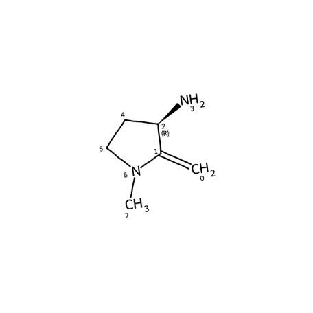 C=C1[C@H](N)CCN1C